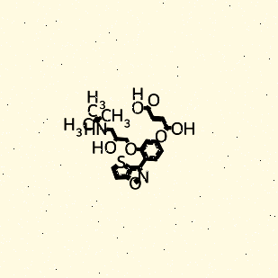 CC(C)(C)NCC(O)COc1ccccc1-c1noc2ccsc12.O=C(O)C=CC(=O)O